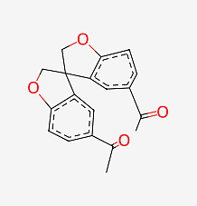 CC(=O)c1ccc2c(c1)C1(CO2)COc2ccc(C(C)=O)cc21